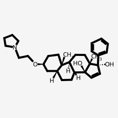 C[C@]12CC[C@H](OCCN3CCCC3)C[C@H]1CC[C@@H]1[C@@H]2CC[C@]2(C)[C@@](O)(c3ccccc3)C=C[C@]12O